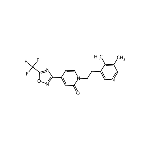 Cc1cncc(CCn2ccc(-c3noc(C(F)(F)F)n3)cc2=O)c1C